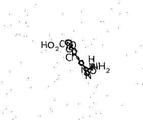 NNC(=O)c1cc(-c2ccc(C#Cc3ccc(S(=O)(=O)N4CCCC(C(=O)O)C4)cc3Cl)cc2)nc2ccncc12